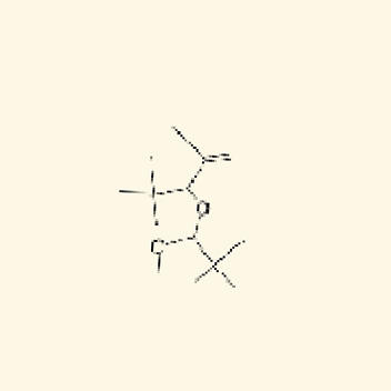 C=C(C)C(OC(OC)C(C)(C)C)C(C)(C)C